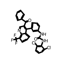 O=C(Nc1cccc(-c2c(C(=O)c3ccccc3)cnc3c(C(F)(F)F)cccc23)c1)Nc1c(Cl)cccc1Cl